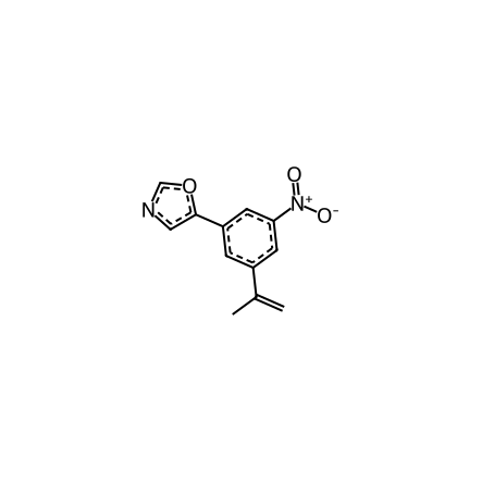 C=C(C)c1cc(-c2cnco2)cc([N+](=O)[O-])c1